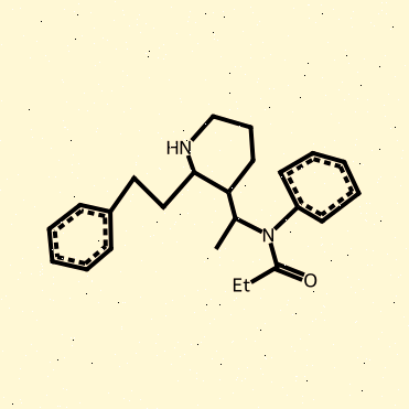 CCC(=O)N(c1ccccc1)C(C)C1CCCNC1CCc1ccccc1